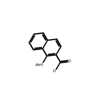 CSc1c(C(=O)Cl)ccc2ccccc12